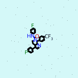 O=C(Nc1ccc(F)cc1)N1CCc2c(-c3ccc(F)cc3)ccnc2C1c1ccc(C(F)(F)F)cc1